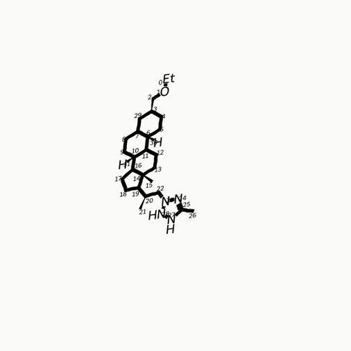 CCOC[C@H]1CC[C@H]2C(CC[C@@H]3C2CC[C@@]2(C)C3CCC2[C@H](C)CN2N=C(C)NN2)C1